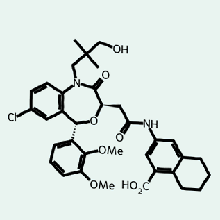 COc1cccc([C@H]2O[C@H](CC(=O)Nc3cc4c(c(C(=O)O)c3)CCCC4)C(=O)N(CC(C)(C)CO)c3ccc(Cl)cc32)c1OC